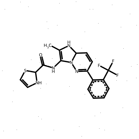 CC1=C(NC(=O)C2NC=CS2)N2N=C(c3ccccc3C(F)(F)F)C=CC2N1